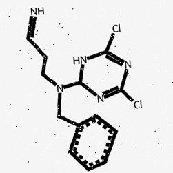 N=CCCN(Cc1ccccc1)C1N=C(Cl)N=C(Cl)N1